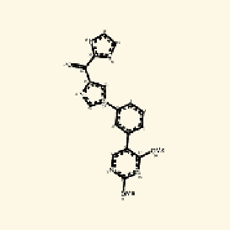 COc1ncc(-c2cccc(-n3cnc(C(=O)c4nccs4)c3)c2)c(OC)n1